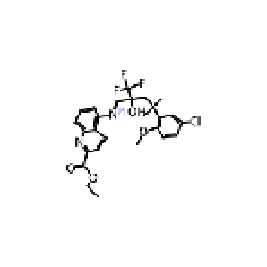 CCOC(=O)c1ccc2c(/N=C/C(O)(CC(C)(C)c3cc(Cl)ccc3OC)C(F)(F)F)cccc2n1